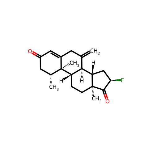 C=C1CC2=CC(=O)C[C@@H](C)[C@]2(C)[C@H]2CC[C@]3(C)C(=O)[C@H](F)C[C@H]3[C@H]12